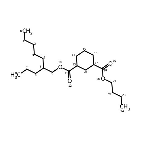 CCCCCC(CCC)COC(=O)C1CCCC(C(=O)OCCCC)C1